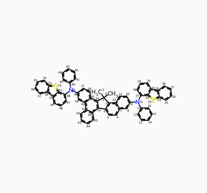 CC1(C)c2c(ccc3cc(N(c4ccccc4)c4cccc5c4sc4ccccc45)ccc23)-c2c1c1ccc(N(c3ccccc3)c3cccc4c3sc3ccccc34)cc1c1ccccc21